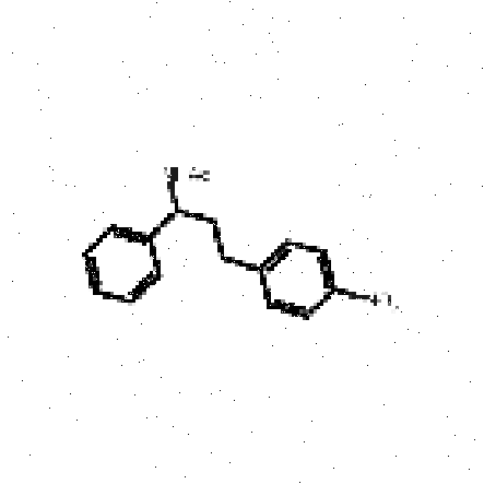 CC(=O)NC(CCc1ccc([N+](=O)[O-])cc1)c1ccccc1